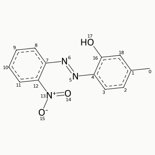 Cc1ccc(/N=N/c2ccccc2[N+](=O)[O-])c(O)c1